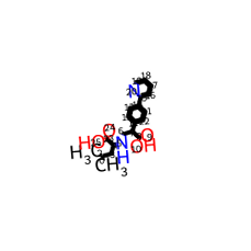 CC(C)CC(NCC(C(=O)O)c1ccc(-c2ccccn2)cc1)C(=O)O